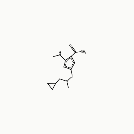 CNc1sc(SN(C)CC2CC2)cc1C(N)=O